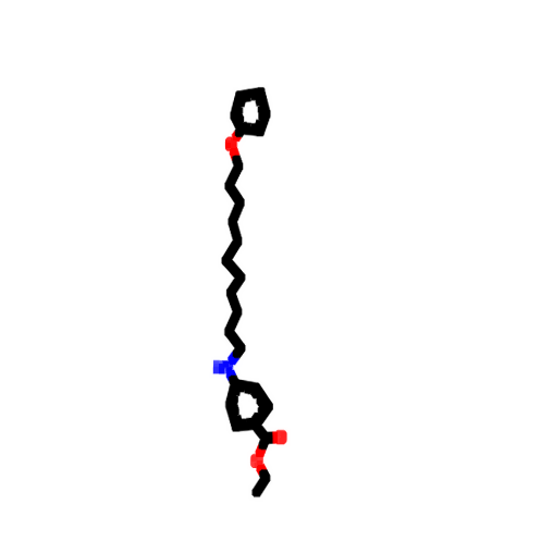 CCOC(=O)c1ccc(NCCCCCCCCCCCOc2ccccc2)cc1